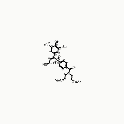 COCCN(CCOC)C(=O)c1ccc(S(=O)(=O)/C(=C\CC#N)c2cc(C(C)(C)C)c(O)c(C(C)(C)C)c2)cc1